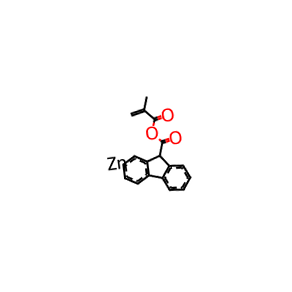 C=C(C)C(=O)OC(=O)C1c2ccccc2-c2ccccc21.[Zn]